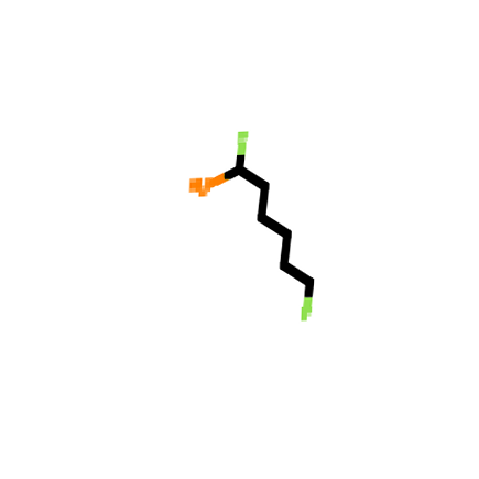 FCCCCCC(F)P